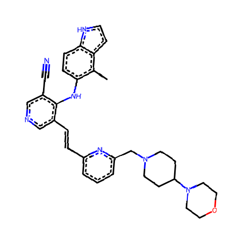 Cc1c(Nc2c(C#N)cncc2/C=C/c2cccc(CN3CCC(N4CCOCC4)CC3)n2)ccc2[nH]ccc12